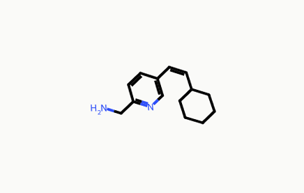 NCc1ccc(/C=C\C2CCCCC2)cn1